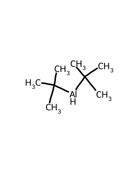 C[C](C)(C)[AlH][C](C)(C)C